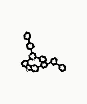 c1ccc(-c2ccc(-c3cc(-c4ccccc4)nc(-c4cccc5oc6ccc(-c7ccc(-c8cccc(-c9ccccc9)c8)cc7)cc6c45)n3)cc2)cc1